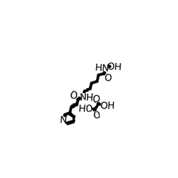 O=C(C=Cc1cccnc1)NCCCCCC(=O)NO.O=C(O)C(=O)O